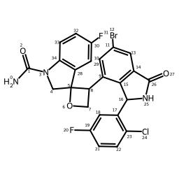 NC(=O)N1CC2(OCC2c2cc(Br)cc3c2C(c2cc(F)ccc2Cl)NC3=O)c2cc(F)ccc21